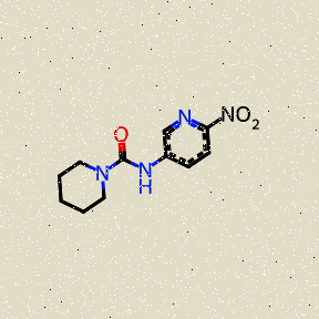 O=C(Nc1ccc([N+](=O)[O-])nc1)N1CCCCC1